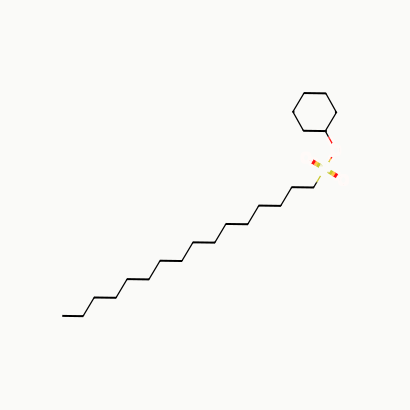 CCCCCCCCCCCCCCCCS(=O)(=O)OC1CCCCC1